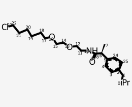 CC(C)Cc1ccc([C@H](C)C(=O)NCCOCCOCCCCCCCl)cc1